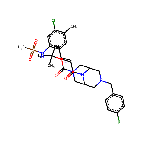 Cc1cc(/C=C/C(=O)N2C3CN(Cc4ccc(F)cc4)CC2CN(C(=O)OC(C)(C)C)C3)c(NS(C)(=O)=O)cc1Cl